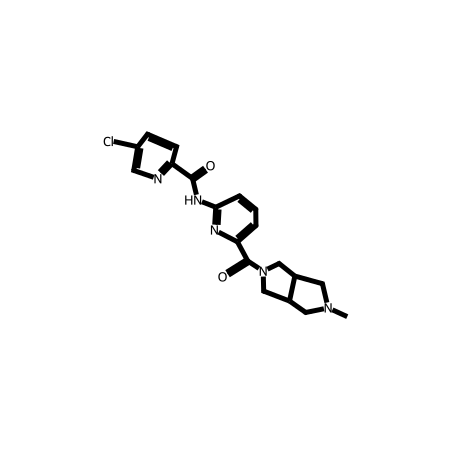 CN1CC2CN(C(=O)c3cccc(NC(=O)c4ccc(Cl)cn4)n3)CC2C1